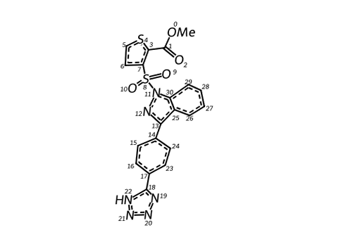 COC(=O)c1sccc1S(=O)(=O)n1nc(-c2ccc(-c3nnn[nH]3)cc2)c2ccccc21